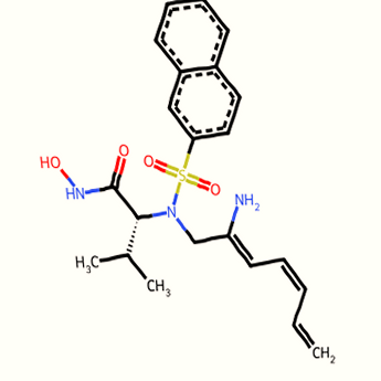 C=C/C=C\C=C(/N)CN([C@@H](C(=O)NO)C(C)C)S(=O)(=O)c1ccc2ccccc2c1